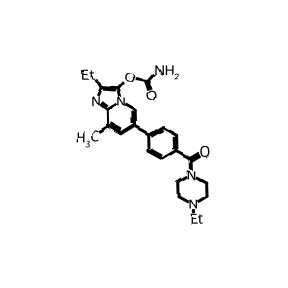 CCc1nc2c(C)cc(-c3ccc(C(=O)N4CCN(CC)CC4)cc3)cn2c1OC(N)=O